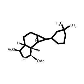 CC(=O)O[C@@H]1O[C@H](OC(C)=O)[C@H]2C3C(C4CCCC(C)(C)C4)[C@@H]3CC[C@@H]12